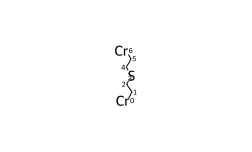 [Cr][CH2]CSC[CH2][Cr]